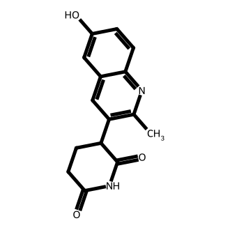 Cc1nc2ccc(O)cc2cc1C1CCC(=O)NC1=O